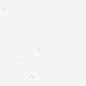 CN[C@H](C)C(=O)N[C@H](Cc1ccc(OC)cc1)C(=O)P1COC1